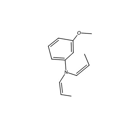 C/C=C\N(/C=C\C)c1cccc(OC)c1